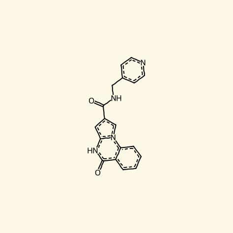 O=C(NCc1ccncc1)c1cc2[nH]c(=O)c3ccccc3n2c1